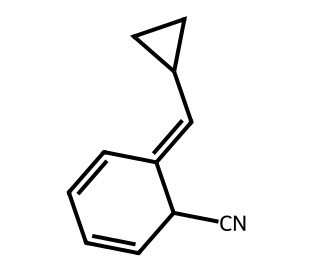 N#CC1C=CC=CC1=CC1CC1